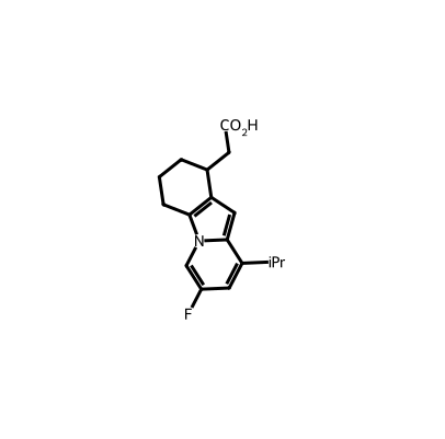 CC(C)c1cc(F)cn2c3c(cc12)C(CC(=O)O)CCC3